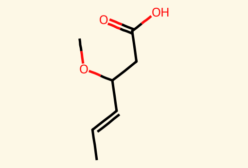 CC=CC(CC(=O)O)OC